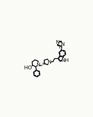 OC1CCCN(C[C@@H]2CCN(CCc3c[nH]c4ccc(-n5cncn5)cc34)C2)C1c1ccccc1